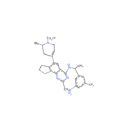 Cc1nc(NC(C)c2cc(N)cc(C(F)(F)F)c2)c2cc(C3=CCN(C(=O)O)C(C(C)(C)C)C3)c3c(c2n1)CCC3